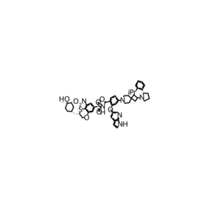 CC(C)c1ccccc1[C@@H]1CCCN1C1CC2(CCN(c3ccc(C(=O)NS(=O)(=O)c4cc5c(c([N+](=O)[O-])c4)S[C@@H](C[C@H]4CC[C@](C)(O)CC4)CO5)c(Oc4cnc5[nH]ccc5c4)c3)CC2)C1